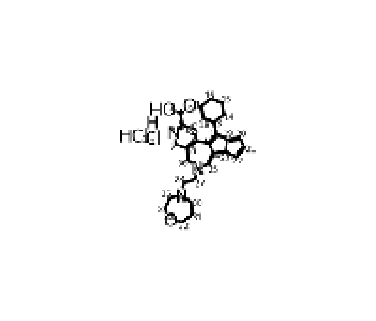 Cl.Cl.O=C(O)C1=NCC2=C(S1)C1=C(C3CCCCC3)C3=CC=CC3C1=CN(CCN1CCCOCC1)C2